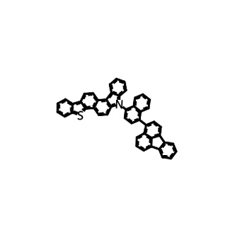 c1ccc2c(c1)-c1cccc3c(-c4ccc(-n5c6ccccc6c6c7ccc8c9ccccc9sc8c7ccc65)c5ccccc45)ccc-2c13